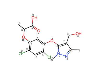 Cc1nn(C)c(Oc2cc(OC(C)C(=O)O)c(Cl)cc2Cl)c1CO